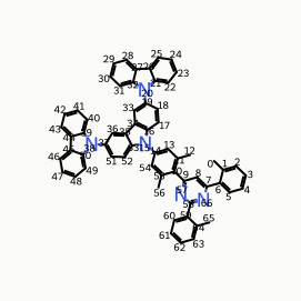 Cc1ccccc1-c1cc(-c2c(C)cc(-n3c4ccc(-n5c6ccccc6c6ccccc65)cc4c4cc(-n5c6ccccc6c6ccccc65)ccc43)cc2C)nc(-c2ccccc2C)n1